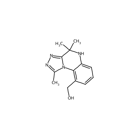 Cc1nnc2n1-c1c(CO)cccc1NC2(C)C